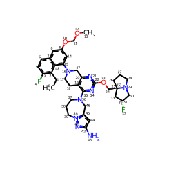 CCc1c(F)ccc2cc(OCOC)cc(N3CCc4c(nc(OC[C@@]56CCCN5C[C@H](F)C6)nc4N4CCCn5nc(N)cc5C4)C3)c12